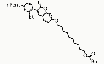 CCCCCc1ccc(-c2cc3ccc(OCCCCCCCCCCOC(=O)C(C)CC)nc3oc2=O)c(CC)c1